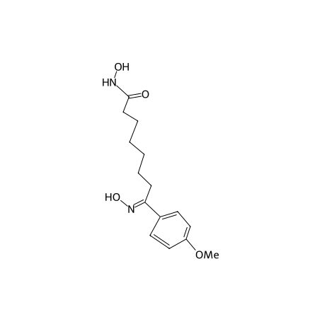 COc1ccc(C(CCCCCCC(=O)NO)=NO)cc1